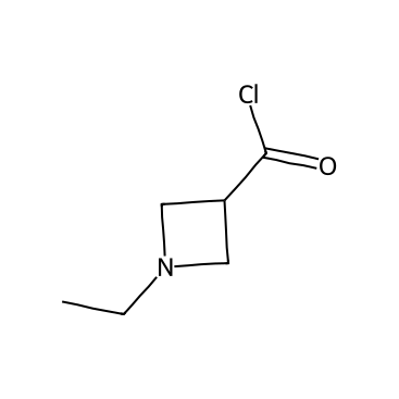 CCN1CC(C(=O)Cl)C1